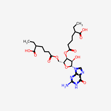 CCC(CCCC(=O)OC[C@H]1O[C@@H](n2cnc3c(=O)[nH]c(N)nc32)[C@H](O)[C@@H]1OC(=O)CCCC(CC)C(=O)O)C(=O)O